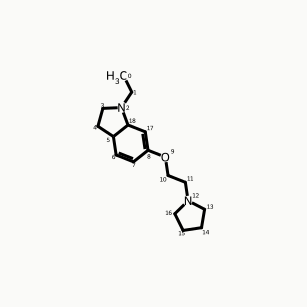 CCN1CCC2C=CC(OCCN3CCCC3)=CC21